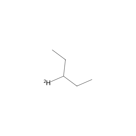 [2H]C(CC)CC